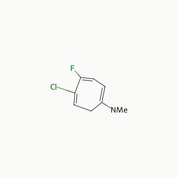 CNC1=CC=C(F)C(Cl)=CC1